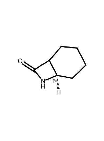 O=C1N[C@@H]2CCCCC12